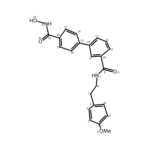 COc1ccc(CCNC(=O)c2cccc(-c3ccc(C(=O)NO)cc3)c2)cc1